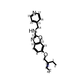 CC/C(=C\F)COc1ccc2nc(NCc3ccncc3)oc2c1